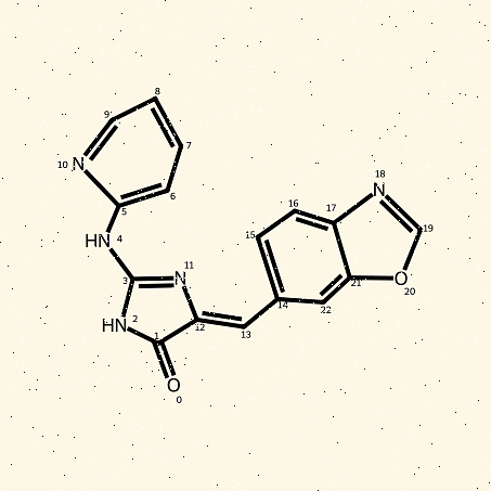 O=C1NC(Nc2ccccn2)=N/C1=C\c1ccc2ncoc2c1